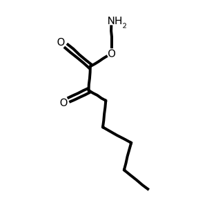 CCCCCC(=O)C(=O)ON